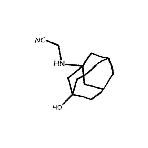 N#CCNC12CC3CC(CC(O)(C3)C1)C2